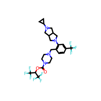 O=C(OC(C(F)(F)F)C(F)(F)F)N1CCN(Cc2ccc(C(F)(F)F)cc2N2CC3CN(C4CC4)CC3C2)CC1